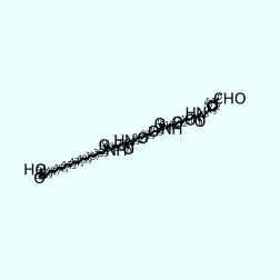 O=Cc1ccc(CNC(=O)COCCOCCNC(=O)COCCOCCNC(=O)CCCNC(=O)CCCCCCCCCCCCCCCS(=O)O)cc1